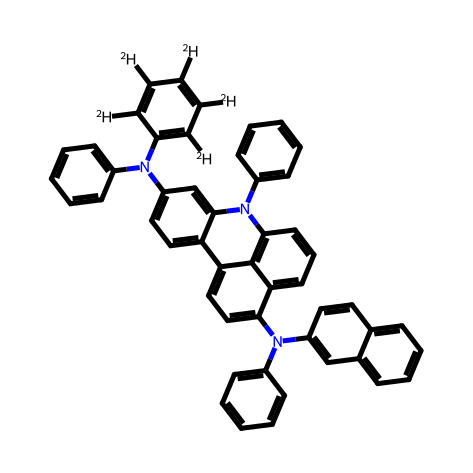 [2H]c1c([2H])c([2H])c(N(c2ccccc2)c2ccc3c(c2)N(c2ccccc2)c2cccc4c(N(c5ccccc5)c5ccc6ccccc6c5)ccc-3c24)c([2H])c1[2H]